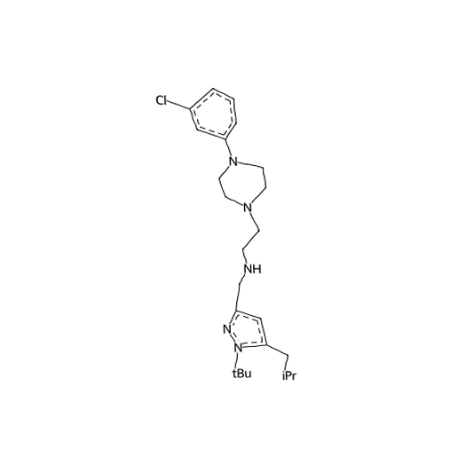 CC(C)Cc1cc(CNCCN2CCN(c3cccc(Cl)c3)CC2)nn1C(C)(C)C